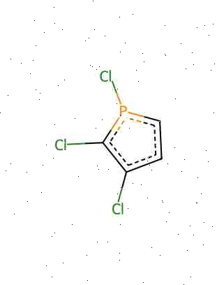 Clc1ccp(Cl)c1Cl